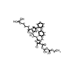 CCCCc1nc(Cl)c(C(=O)OC(C)OC(=O)OCC)n1Cc1ccc(-c2ccccc2-c2nnn(C(=O)CCCON(O)O)n2)cc1